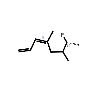 C=C/C=C(/C)CC(C)[C@@H](C)F